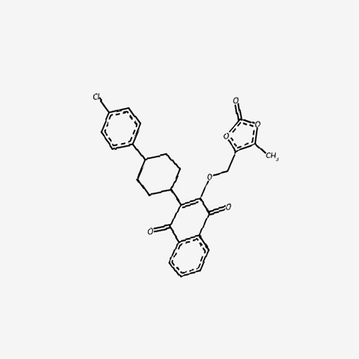 Cc1oc(=O)oc1COC1=C(C2CCC(c3ccc(Cl)cc3)CC2)C(=O)c2ccccc2C1=O